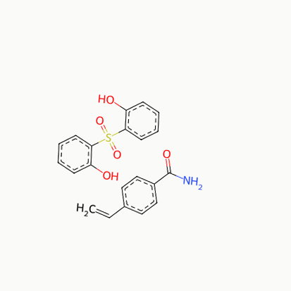 C=Cc1ccc(C(N)=O)cc1.O=S(=O)(c1ccccc1O)c1ccccc1O